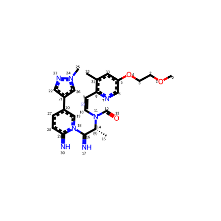 COCCOc1cnc(/C=C\N(C=O)[C@H](C)C(=N)n2cc(-c3cnn(C)c3)ccc2=N)c(C)c1